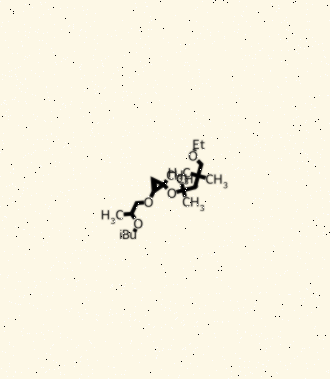 CCOCC(C)(C)CC(C)(C)OC1(C)C=C1OCC(C)OC(C)CC